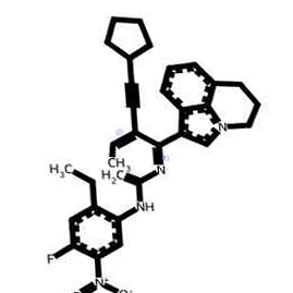 C=C(/N=C(\C(C#CC1CCCC1)=C/C)c1cn2c3c(cccc13)CCC2)Nc1cc([N+](=O)[O-])c(F)cc1CC